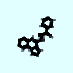 O=C(NNc1nc2cccnc2n2ccnc12)c1cnccn1